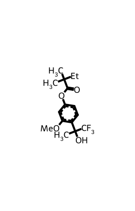 CCC(C)(C)C(=O)Oc1ccc(C(C)(O)C(F)(F)F)c(OC)c1